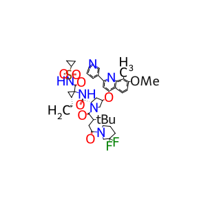 C=C[C@@H]1CC1(NC(=O)[C@@H]1C[C@@H](Oc2cc(-c3cccnc3)nc3c(C)c(OC)ccc23)CN1C(=O)C(CC(=O)N1CCCC(F)(F)C1)C(C)(C)C)C(=O)NS(=O)(=O)C1CC1